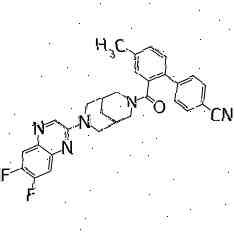 Cc1ccc(-c2ccc(C#N)cc2)c(C(=O)N2CC3CC(C2)CN(c2cnc4cc(F)c(F)cc4n2)C3)c1